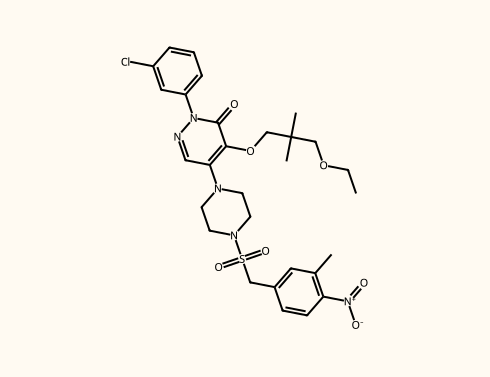 CCOCC(C)(C)COc1c(N2CCN(S(=O)(=O)Cc3ccc([N+](=O)[O-])c(C)c3)CC2)cnn(-c2cccc(Cl)c2)c1=O